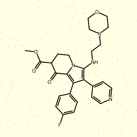 COC(=O)C1CCn2c(NCCN3CCOCC3)c(-c3ccncc3)c(-c3ccc(F)cc3)c2C1=O